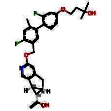 C=C(O)[C@H]1[C@@H]2Cc3cc(OCc4cc(-c5ccc(OCCC(C)(C)O)cc5F)c(C)cc4F)ncc3[C@@H]21